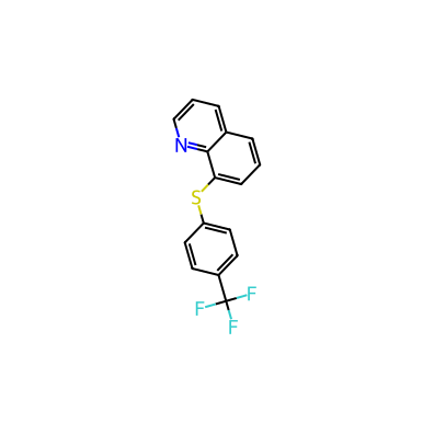 FC(F)(F)c1ccc(Sc2cccc3cccnc23)cc1